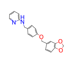 c1ccc(NCc2ccc(OCc3ccc4c(c3)OCO4)cc2)nc1